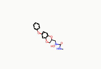 CNC(=O)N(O)CC1COc2cc(Oc3ccccc3)ccc2O1